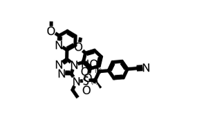 CCN(c1nnc(-c2cccc(OC)n2)n1-c1c(OC)cccc1OC)S(=O)(=O)[C@H](C)[C@H](O)c1ccc(C#N)cc1